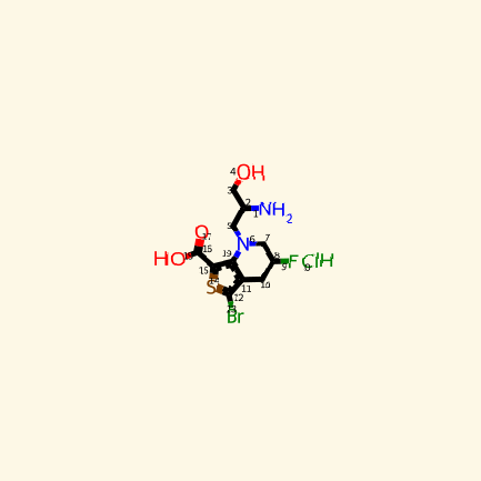 Cl.NC(CO)CN1CC(F)Cc2c(Br)sc(C(=O)O)c21